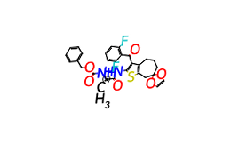 C[C@H](NC(=O)OCc1ccccc1)C(=O)Nc1sc2c(c1C(=O)c1c(F)cccc1F)CCCC1(C2)OC=CO1